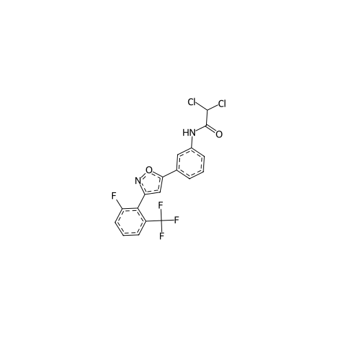 O=C(Nc1cccc(-c2cc(-c3c(F)cccc3C(F)(F)F)no2)c1)C(Cl)Cl